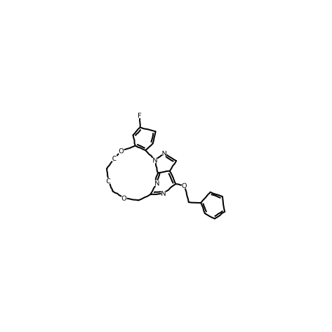 Fc1ccc2c(c1)OCCCCOCc1nc(OCc3ccccc3)c3cnn-2c3n1